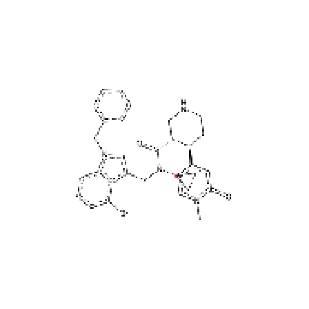 Cn1ccc([C@@H]2CCNC[C@H]2C(=O)N(Cc2cn(Cc3ccccc3)c3cccc(Br)c23)C2CC2)cc1=O